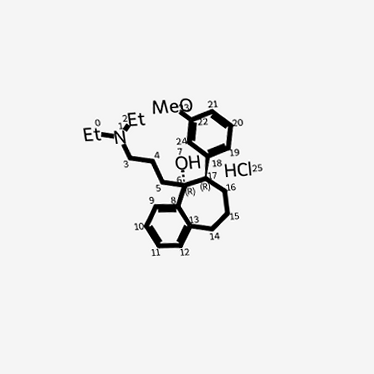 CCN(CC)CCC[C@]1(O)c2ccccc2CCC[C@@H]1c1cccc(OC)c1.Cl